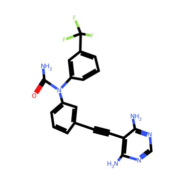 NC(=O)N(c1cccc(C#Cc2c(N)ncnc2N)c1)c1cccc(C(F)(F)F)c1